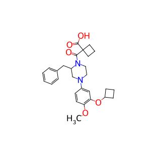 COc1ccc(N2CCN(C(=O)C3(C(=O)O)CCC3)C(Cc3ccccc3)C2)cc1OC1CCC1